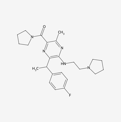 Cc1nc(NCCN2CCCC2)c(C(C)c2ccc(F)cc2)nc1C(=O)N1CCCC1